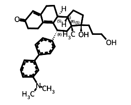 CN(C)c1cccc(-c2ccc([C@H]3C[C@]4(C)[C@@H](CC[C@]4(O)CCCO)[C@@H]4CCC5=CC(=O)CCC5=C43)cc2)c1